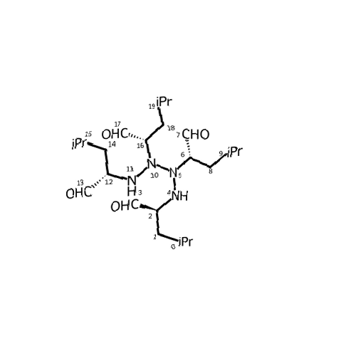 CC(C)C[C@@H](C=O)NN([C@H](C=O)CC(C)C)N(N[C@H](C=O)CC(C)C)[C@H](C=O)CC(C)C